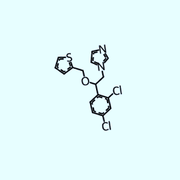 Clc1ccc(C(Cn2ccnc2)OCc2cccs2)c(Cl)c1